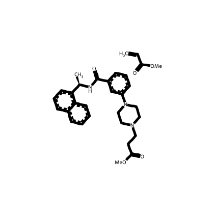 C=CC(=O)OC.COC(=O)CCN1CCN(c2cccc(C(=O)N[C@H](C)c3cccc4ccccc34)c2)CC1